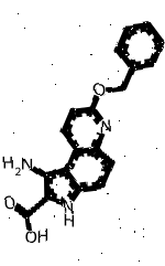 Nc1c(C(=O)O)[nH]c2ccc3nc(OCc4ccccc4)ccc3c12